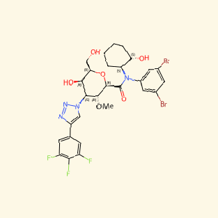 CO[C@@H]1[C@@H](n2cc(-c3cc(F)c(F)c(F)c3)nn2)[C@@H](O)[C@@H](CO)O[C@H]1C(=O)N(c1cc(Br)cc(Br)c1)[C@H]1CCCC[C@@H]1O